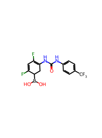 O=C(NC1=C(F)C=C(F)C(B(O)O)C1)Nc1ccc(C(F)(F)F)cc1